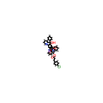 O=C(C=Cc1ccc(Cl)cc1)OCCN1C(=O)C2C3C=C(C(O)(c4ccccc4)c4ccccn4)C(C3=C(c3ccccc3)c3ccccn3)C2C1=O